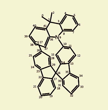 CC1(C)c2ccccc2N(c2ccc3c(c2)C2(c4ccccc4-c4ccc(Cl)cc42)c2ccccc2-3)c2ccccc21